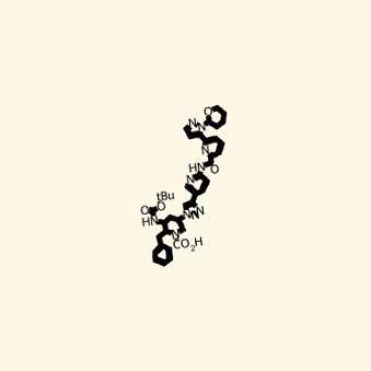 CC(C)(C)OC(=O)NC1CC(n2cc(-c3ccc(NC(=O)c4cccc(-c5ccnn5C5CCCCO5)n4)nc3)nn2)CN(C(=O)O)C1Cc1ccccc1